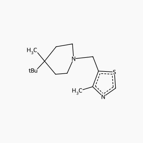 Cc1ncsc1CN1CCC(C)(C(C)(C)C)CC1